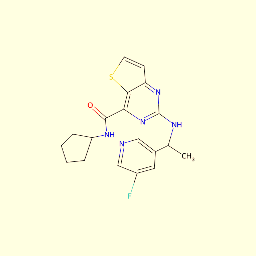 CC(Nc1nc(C(=O)NC2CCCC2)c2sccc2n1)c1cncc(F)c1